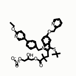 CCOc1ccc(-c2ccc(Cn3c(CC(C)(C)C(=O)OCC(O)CO[N+](=O)[O-])c(SC(C)(C)C)c4cc(OCc5ccccn5)ccc43)cc2)cn1